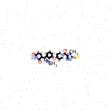 Cn1c(C(=O)N2CCC(Oc3cccc4c(C5CCC(=O)NC5=O)nn(C)c34)CC2)cnc1S